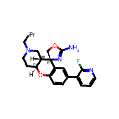 CC(C)CN1CC[C@@H]2Oc3ccc(-c4cccnc4F)cc3[C@]3(COC(N)=N3)[C@H]2C1